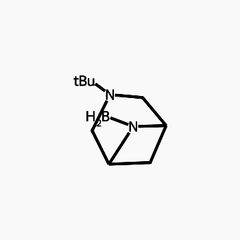 BN1C2CC1CN(C(C)(C)C)C2